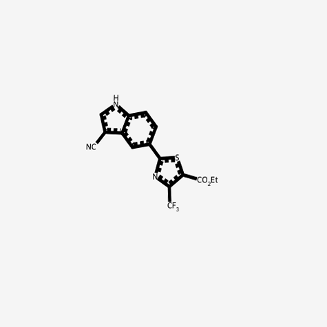 CCOC(=O)c1sc(-c2ccc3[nH]cc(C#N)c3c2)nc1C(F)(F)F